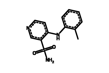 Cc1ccccc1Nc1ccncc1S(N)(=O)=O